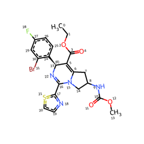 CCOC(=O)C1=C2CC(NC(=O)OC)CN2C(c2nccs2)=N[C@H]1c1ccc(F)cc1Br